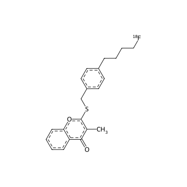 Cc1c(SCc2ccc(CCCC[18F])cc2)oc2ccccc2c1=O